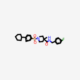 CC1(C(=O)NCc2ccc(F)cc2)CCN(S(=O)(=O)c2ccc(C3CCCCC3)cc2)CC1